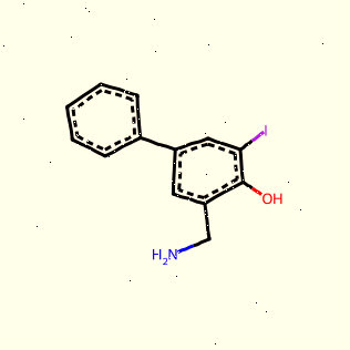 NCc1cc(-c2ccccc2)cc(I)c1O